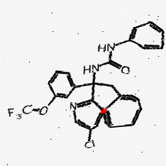 O=C(Nc1ccccc1)NC(Cc1ccccc1)(c1cccc(OC(F)(F)F)c1)c1ccc(Cl)cn1